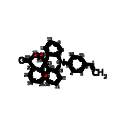 C=Cc1ccc(N2c3ccccc3C3(c4ccccc4C(=O)c4ccccc43)c3ccccc32)cc1